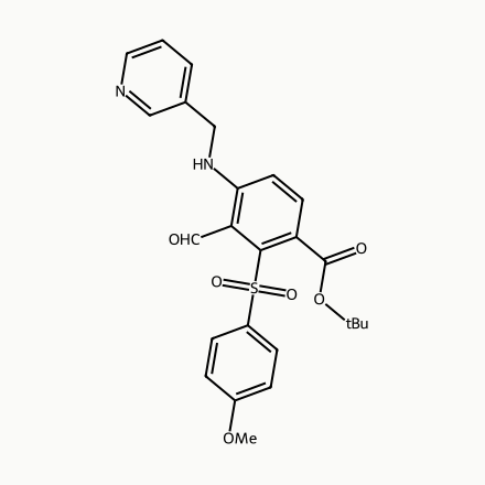 COc1ccc(S(=O)(=O)c2c(C(=O)OC(C)(C)C)ccc(NCc3cccnc3)c2C=O)cc1